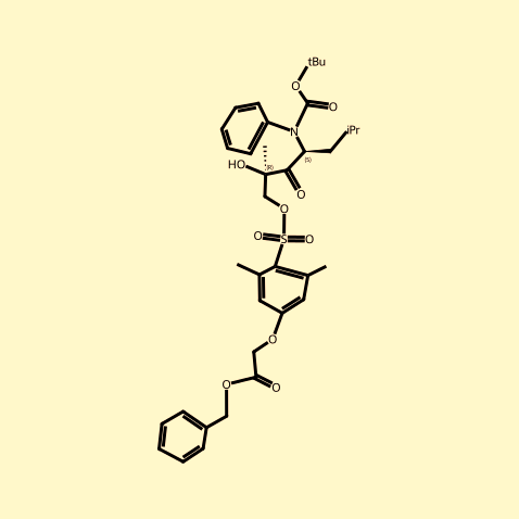 Cc1cc(OCC(=O)OCc2ccccc2)cc(C)c1S(=O)(=O)OC[C@@](C)(O)C(=O)[C@H](CC(C)C)N(C(=O)OC(C)(C)C)c1ccccc1